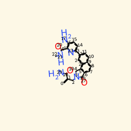 C=C(CN1Cc2c(ccc3ccc(-c4ccc(N)c(C(=O)NC)n4)cc23)C1=O)C(N)=O